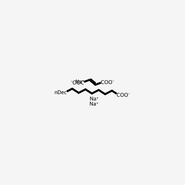 CCCCCCCCCCCCCCCCCC(=O)[O-].O=C([O-])/C=C/C(=O)[O-].[Na+].[Na+].[Na+]